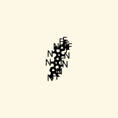 N#CC(C#N)=C1C(c2ccc(C(F)(F)F)c(C(F)(F)F)c2)=C(C#N)c2c1cc1c(c2F)C(=C(C#N)C#N)C(c2ccc(C#N)c(C(F)(F)F)c2)=C1C#N